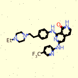 CCN1CCN(CCc2ccc(Nc3nc(Nc4ccc(C(F)(F)F)cn4)cc4cc[nH]c(=O)c34)cc2)CC1